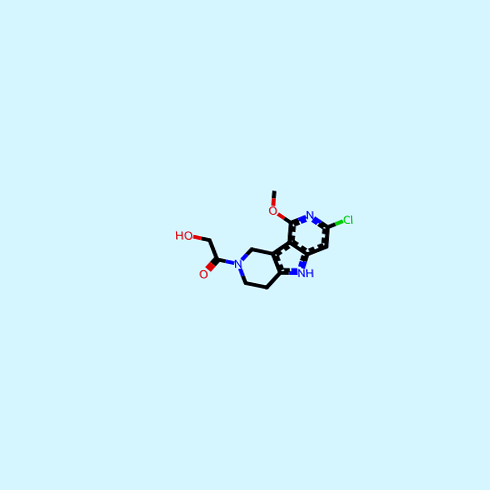 COc1nc(Cl)cc2[nH]c3c(c12)CN(C(=O)CO)CC3